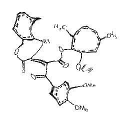 COc1ccc(C(=O)C(C(=O)Oc2c(C)cc(C)cc2C)=C2Nc3ccccc3OC2=O)cc1OC